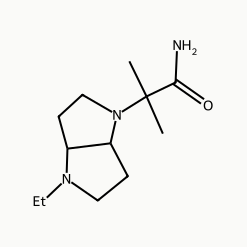 CCN1CCC2C1CCN2C(C)(C)C(N)=O